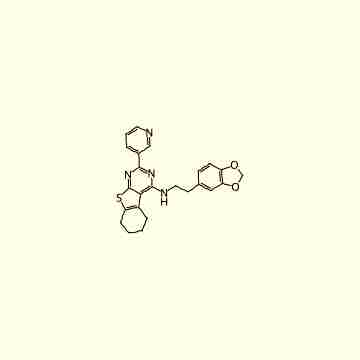 c1cncc(-c2nc(NCCc3ccc4c(c3)OCO4)c3c4c(sc3n2)CCCC4)c1